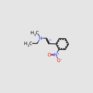 CCN(C)/C=C/c1ccccc1[N+](=O)[O-]